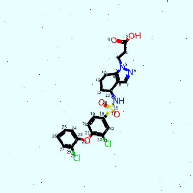 O=C(O)CCn1ncc2c1CCCC2NS(=O)(=O)c1ccc(Oc2ccccc2Cl)c(Cl)c1